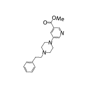 COC(=O)c1cncc(N2CCN(CCc3ccccc3)CC2)c1